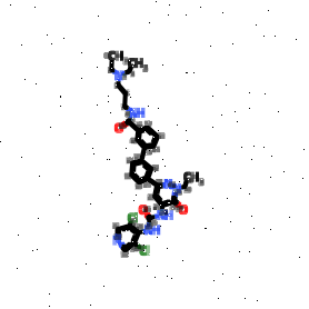 CCN(CC)CCCNC(=O)c1cccc(-c2cccc(-c3cc(NC(=O)Nc4c(Cl)cncc4Cl)c(=O)n(CC)n3)c2)c1